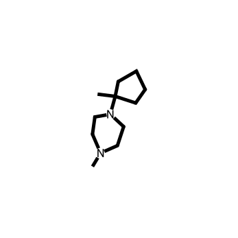 CN1CCN(C2(C)CCCC2)CC1